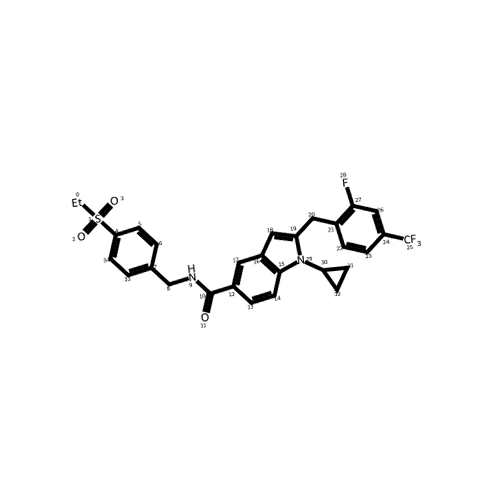 CCS(=O)(=O)c1ccc(CNC(=O)c2ccc3c(c2)cc(Cc2ccc(C(F)(F)F)cc2F)n3C2CC2)cc1